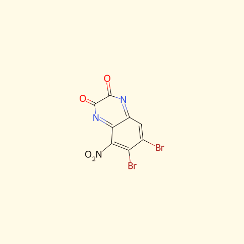 O=C1N=c2cc(Br)c(Br)c([N+](=O)[O-])c2=NC1=O